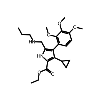 CCCNCc1[nH]c(C(=O)OCC)c(C2CC2)c1-c1ccc(OC)c(OC)c1OC